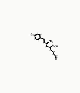 C=C(/C=C/c1ccc(O)cc1)CC(CO)CCCC=O